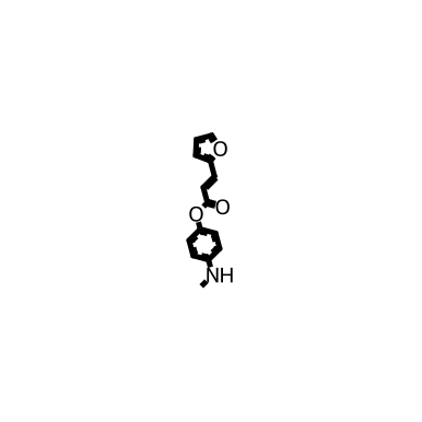 CNc1ccc(OC(=O)/C=C/c2ccco2)cc1